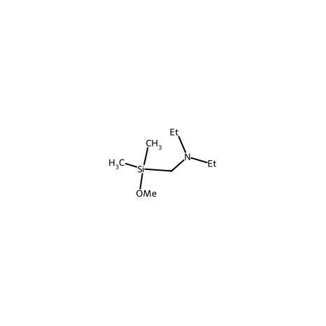 CCN(CC)C[Si](C)(C)OC